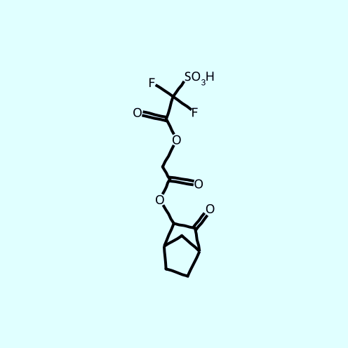 O=C(COC(=O)C(F)(F)S(=O)(=O)O)OC1C(=O)C2CCC1C2